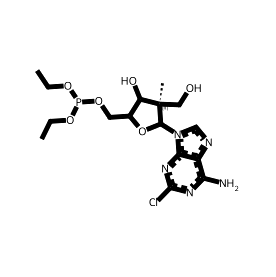 CCOP(OCC)OCC1OC(n2cnc3c(N)nc(Cl)nc32)[C@](C)(CO)C1O